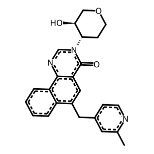 Cc1cc(Cc2cc3c(=O)n([C@H]4CCOC[C@@H]4O)cnc3c3ccccc23)ccn1